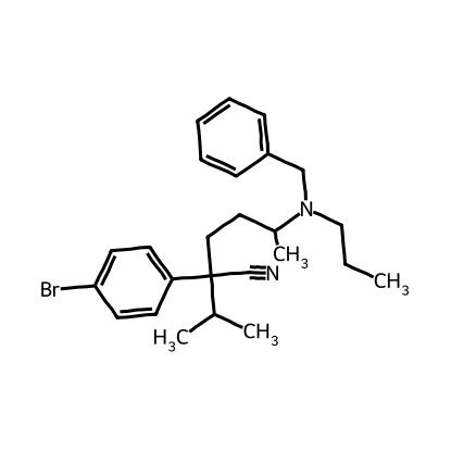 CCCN(Cc1ccccc1)C(C)CCC(C#N)(c1ccc(Br)cc1)C(C)C